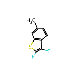 Cc1ccc2c(F)c(F)sc2c1